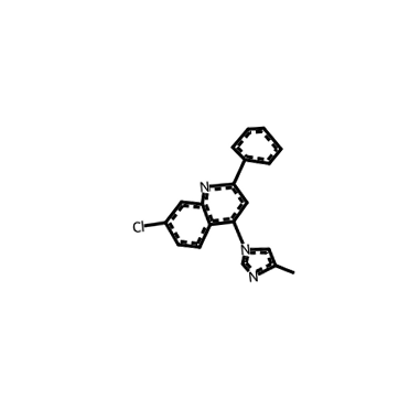 Cc1cn(-c2cc(-c3ccccc3)nc3cc(Cl)ccc23)cn1